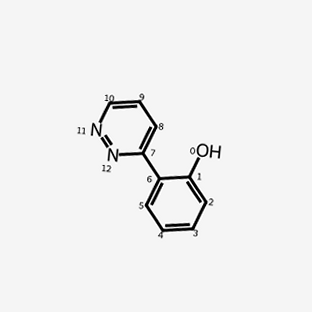 Oc1ccccc1-c1cccnn1